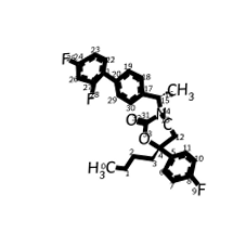 CCCC[C@]1(c2ccc(F)cc2)CCN([C@@H](C)c2ccc(-c3ccc(F)cc3F)cc2)C(=O)O1